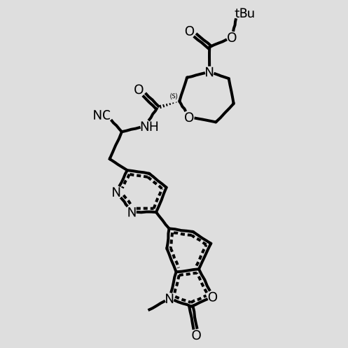 Cn1c(=O)oc2ccc(-c3ccc(CC(C#N)NC(=O)[C@@H]4CN(C(=O)OC(C)(C)C)CCCO4)nn3)cc21